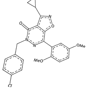 COc1ccc(OC)c(-c2nn(Cc3ccc(Cl)cc3)c(=O)c3c(C4CC4)noc23)c1